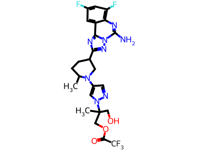 CC1CCC(c2nc3c4cc(F)cc(F)c4nc(N)n3n2)CN1c1cnn(C(C)(CO)COC(=O)C(F)(F)F)c1